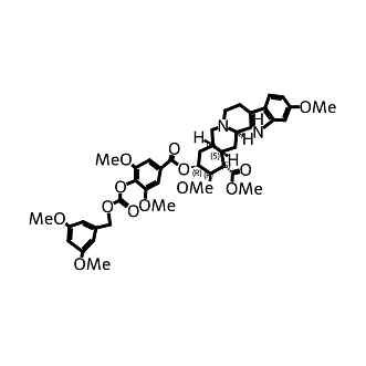 COC(=O)[C@H]1[C@H]2C[C@@H]3c4[nH]c5cc(OC)ccc5c4CCN3C[C@H]2C[C@@H](OC(=O)c2cc(OC)c(OC(=O)OCc3cc(OC)cc(OC)c3)c(OC)c2)[C@@H]1OC